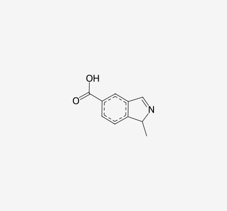 CC1N=Cc2cc(C(=O)O)ccc21